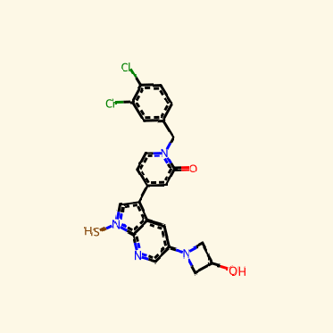 O=c1cc(-c2cn(S)c3ncc(N4CC(O)C4)cc23)ccn1Cc1ccc(Cl)c(Cl)c1